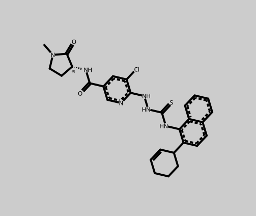 CN1CC[C@@H](NC(=O)c2cnc(NNC(=S)Nc3c(C4C=CCCC4)ccc4ccccc34)c(Cl)c2)C1=O